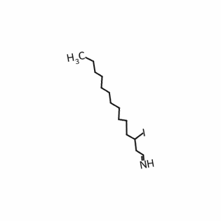 CCCCCCCCCCCC(I)CC=N